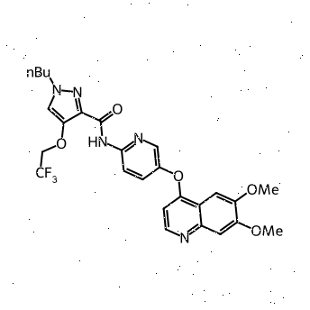 CCCCn1cc(OCC(F)(F)F)c(C(=O)Nc2ccc(Oc3ccnc4cc(OC)c(OC)cc34)cn2)n1